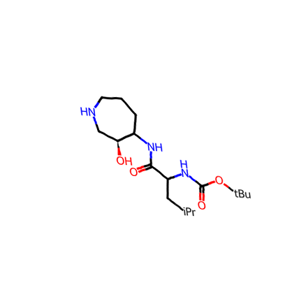 CC(C)CC(NC(=O)OC(C)(C)C)C(=O)NC1CCCNC[C@@H]1O